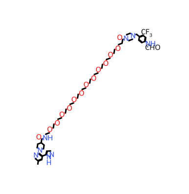 Cc1cnc(N2CCC(C(=O)NCCOCCOCCOCCOCCOCCOCCOCCOCCOCCOCCOCCOCCC(=O)N3CCN(Cc4ccc(NC=O)cc4C(F)(F)F)CC3)CC2)c(-c2ccn[nH]2)c1